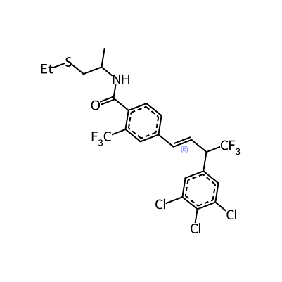 CCSCC(C)NC(=O)c1ccc(/C=C/C(c2cc(Cl)c(Cl)c(Cl)c2)C(F)(F)F)cc1C(F)(F)F